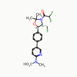 CN(C(=O)O)c1ccc(-c2ccc([C@H]3OC(C)(C)N(C(=O)C(F)F)[C@@H]3CF)cc2)cn1